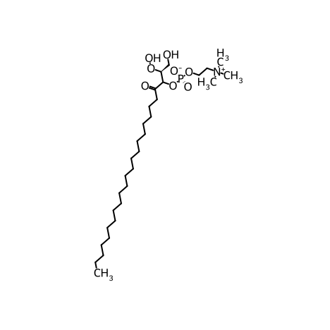 CCCCCCCCCCCCCCCCCCCCCC(=O)C(OP(=O)([O-])OCC[N+](C)(C)C)[C@H](CO)OO